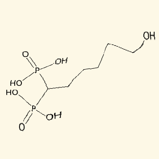 O=P(O)(O)C(CCCCCO)P(=O)(O)O